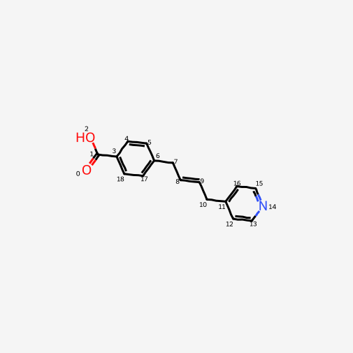 O=C(O)c1ccc(C/C=C/Cc2ccncc2)cc1